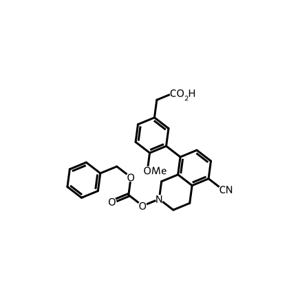 COc1ccc(CC(=O)O)cc1-c1ccc(C#N)c2c1CN(OC(=O)OCc1ccccc1)CC2